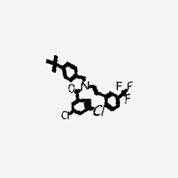 CC(C)(C)c1ccc(CN(CCc2cccc(C(F)(F)F)c2)C(=O)c2cc(Cl)cc(Cl)c2)cc1